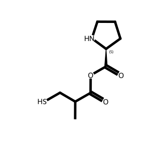 CC(CS)C(=O)OC(=O)[C@@H]1CCCN1